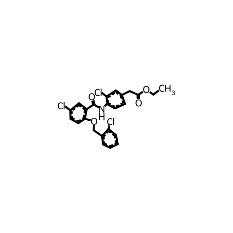 CCOC(=O)Cc1ccc(NC(=O)c2cc(Cl)ccc2OCc2ccccc2Cl)c(Cl)c1